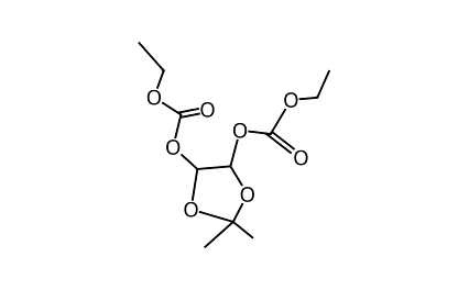 CCOC(=O)OC1OC(C)(C)OC1OC(=O)OCC